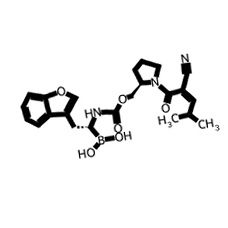 CC(C)/C=C(/C#N)C(=O)N1CCC[C@@H]1COC(=O)N[C@@H](Cc1coc2ccccc12)B(O)O